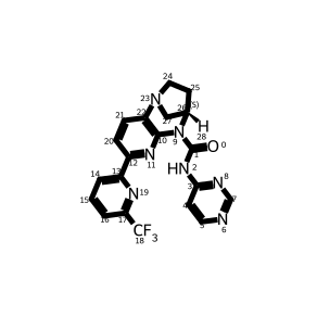 O=C(Nc1ccncn1)N1c2nc(-c3cccc(C(F)(F)F)n3)ccc2N2CC[C@H]1C2